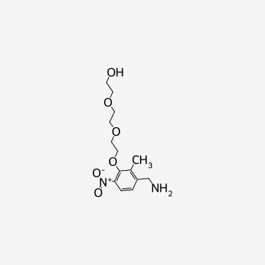 Cc1c(CN)ccc([N+](=O)[O-])c1OCCOCCOCCO